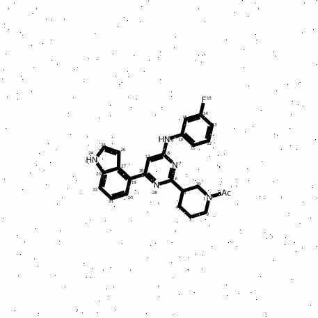 CC(=O)N1CCCC(c2nc(Nc3cccc(F)c3)cc(-c3cccc4[nH]ccc34)n2)C1